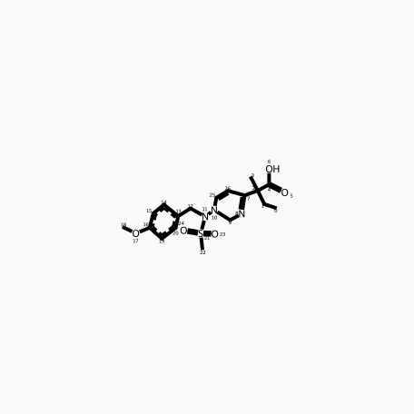 CCC(C)(C(=O)O)C1=NCN(N(Cc2ccc(OC)cc2)S(C)(=O)=O)C=C1